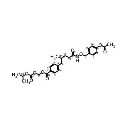 CC(=O)Oc1ccc(CONC(=O)CCC(C)Cc2ccc(C(=O)OCOC(=O)OC(C)C)cc2)cc1